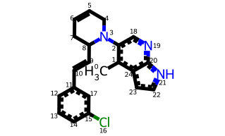 Cc1c(N2CC=CCC2C=Cc2cccc(Cl)c2)cnc2[nH]ccc12